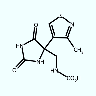 Cc1nscc1C1(CNC(=O)O)NC(=O)NC1=O